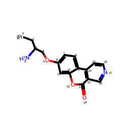 CC(C)CC(N)COc1ccc2c(c1)oc(=O)c1cnccc12